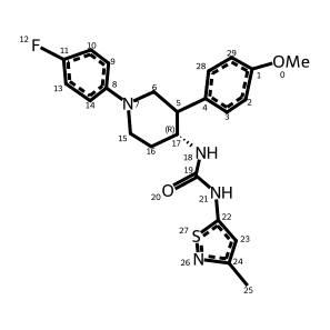 COc1ccc(C2CN(c3ccc(F)cc3)CC[C@H]2NC(=O)Nc2cc(C)ns2)cc1